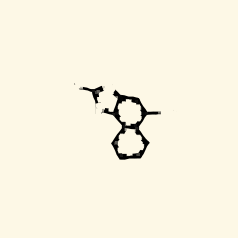 CCCc1cc2oc(N)nc2c2ccccc12